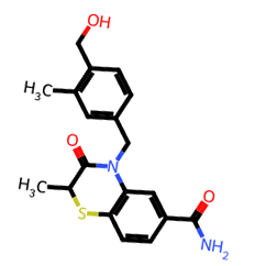 Cc1cc(CN2C(=O)C(C)Sc3ccc(C(N)=O)cc32)ccc1CO